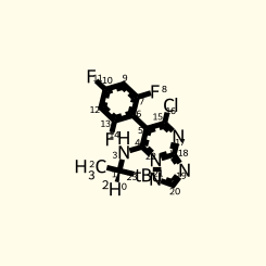 [2H][C@@](C)(Nc1c(-c2c(F)cc(F)cc2F)c(Cl)nc2ncnn12)C(C)(C)C